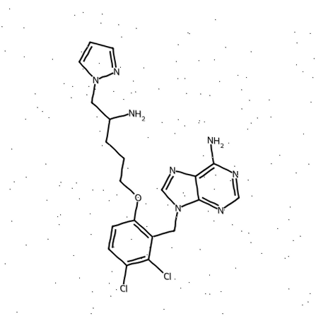 Nc1ncnc2c1ncn2Cc1c(OCCCC(N)Cn2cccn2)ccc(Cl)c1Cl